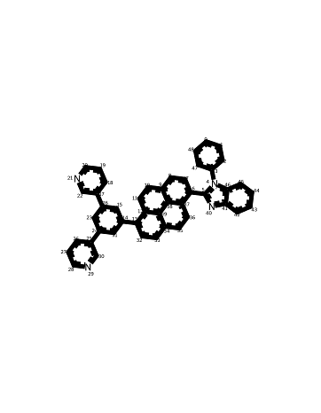 c1ccc(-n2c(-c3ccc4ccc5c(-c6cc(-c7cccnc7)cc(-c7cccnc7)c6)ccc6ccc3c4c65)nc3ccccc32)cc1